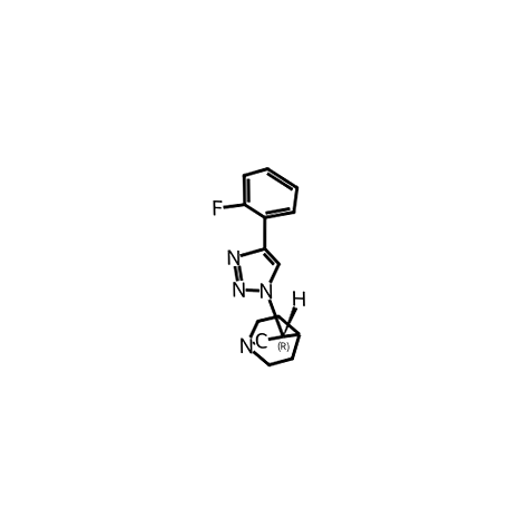 Fc1ccccc1-c1cn([C@H]2CN3CCC2CC3)nn1